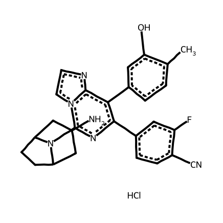 Cc1ccc(-c2c(-c3ccc(C#N)c(F)c3)nc(N3C4CCC3CC(N)C4)n3ccnc23)cc1O.Cl